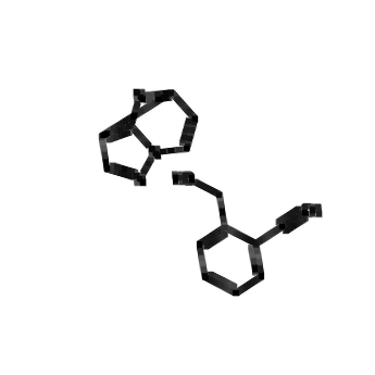 C#Cc1ccccc1CO.c1cn2ncc3c2nc1-3